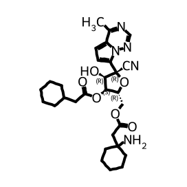 Cc1ncnn2c([C@]3(C#N)O[C@H](COC(=O)CC4(N)CCCCC4)[C@@H](OC(=O)CC4CCCCC4)[C@H]3O)ccc12